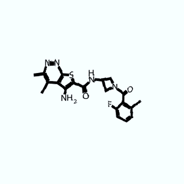 Cc1cccc(F)c1C(=O)N1CC(NC(=O)c2sc3nnc(C)c(C)c3c2N)C1